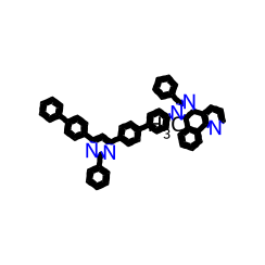 CC12c3ccccc3-c3ncccc3C1N=C(c1ccccc1)N2c1ccc(-c2ccc(-c3cc(-c4ccc(-c5ccccc5)cc4)nc(-c4ccccc4)n3)cc2)cc1